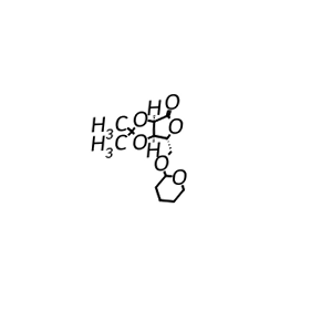 CC1(C)O[C@@H]2[C@@H](COC3CCCCO3)OC(=O)[C@@H]2O1